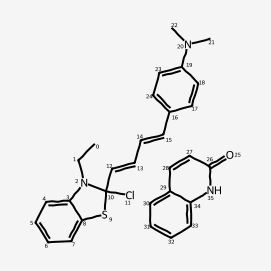 CCN1c2ccccc2SC1(Cl)C=CC=Cc1ccc(N(C)C)cc1.O=c1ccc2ccccc2[nH]1